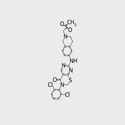 CS(=O)(=O)CN1CCc2cc(Nc3ncc4c(n3)SCN(c3c(Cl)cccc3Cl)C4=O)ccc2C1